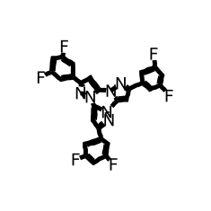 Fc1cc(F)cc(-c2cc3n(n2)c2cc(-c4cc(F)cc(F)c4)nn2c2cc(-c4cc(F)cc(F)c4)nn32)c1